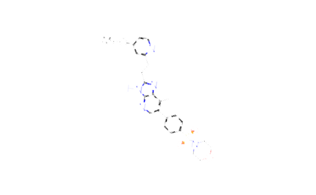 COc1ccnc(CCc2nc3c(C)c(-c4ccc(S(=O)(=O)N5CCOCC5)cc4)cnc3[nH]2)c1